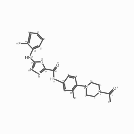 CC(=O)N1CCN(c2ccc(NC(=O)c3nnc(Nc4ccccc4F)o3)cc2C)CC1